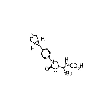 CC(C)(C)C(NC(=O)O)[C@@H]1CN(c2ccc(C3[C@H]4COC[C@@H]34)cc2)C(=O)O1